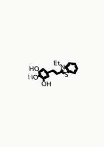 CC[n+]1c(/C=C/c2cc(O)c(O)c(O)c2)sc2ccccc21